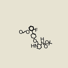 CC(C)(C)OC(=O)NC1CCCNC1COC1CC=C(c2c(F)cccc2OCC=O)CC1